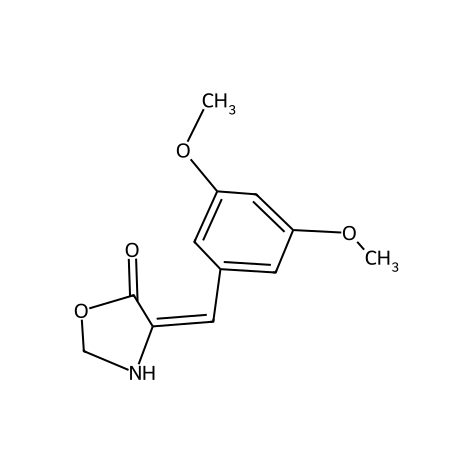 COc1cc(/C=C2/NCOC2=O)cc(OC)c1